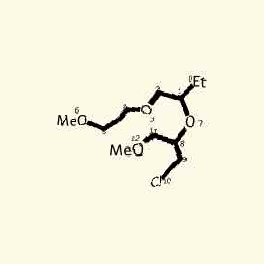 CCC(COCCOC)OC(CCl)COC